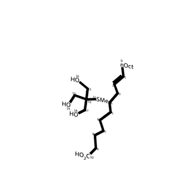 CCCCCCCCC=CCCCCCCCC(=O)O.CSC(CO)(CO)CO